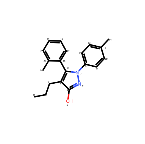 CCCc1c(O)nn(-c2ccc(C)cc2)c1-c1ccccc1C